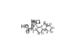 Cl.N[C@@H](Cc1ccc(-c2ccccc2F)cc1)C(=O)O